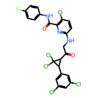 O=C(Nc1ccc(F)cc1)c1nc(NCC(=O)C2C(c3cc(Cl)cc(Cl)c3)C2(Cl)Cl)ccc1Cl